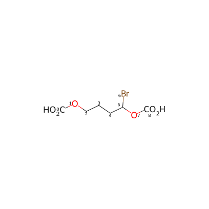 O=C(O)OCCCC(Br)OC(=O)O